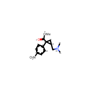 COC(=O)C1(c2ccc([N+](=O)[O-])cc2)CC1CN(C)C